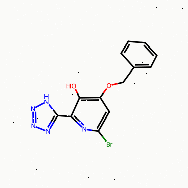 Oc1c(OCc2ccccc2)cc(Br)nc1-c1nnn[nH]1